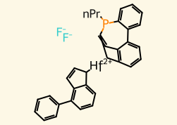 CCCP1C2=Cc3c(cccc3[CH]2[Hf+2][CH]2C=Cc3c(-c4ccccc4)cccc32)-c2ccccc21.[F-].[F-]